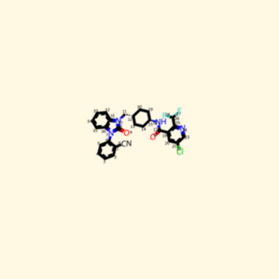 N#Cc1ccccc1-n1c(=O)n(C[C@H]2CC[C@H](NC(=O)c3cc(Cl)cnc3C(F)F)CC2)c2ccccc21